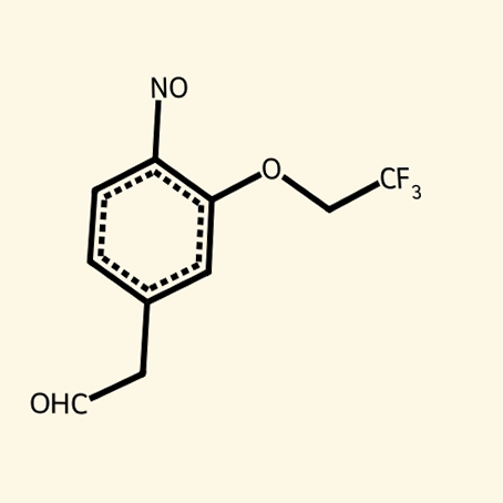 O=CCc1ccc(N=O)c(OCC(F)(F)F)c1